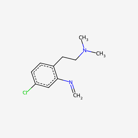 C=Nc1cc(Cl)ccc1CCN(C)C